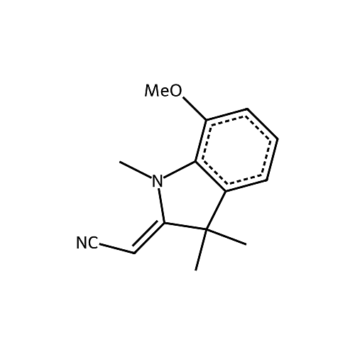 COc1cccc2c1N(C)C(=CC#N)C2(C)C